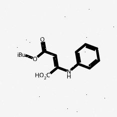 CCC(C)OC(=O)C=C(Nc1ccccc1)C(=O)O